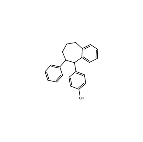 Oc1ccc(C2c3ccccc3CCCC2c2ccccc2)cc1